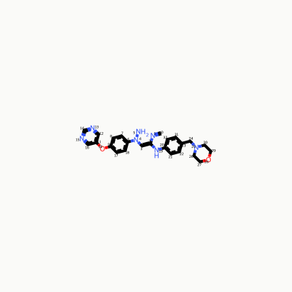 C=N/C(=C\N(N)c1ccc(Oc2cncnc2)cc1)Nc1ccc(CN2CCOCC2)cc1